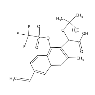 C=Cc1ccc2c(OS(=O)(=O)C(F)(F)F)c(C(OC(C)(C)C)C(=O)O)c(C)cc2c1